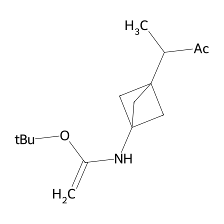 C=C(NC12CC(C(C)C(C)=O)(C1)C2)OC(C)(C)C